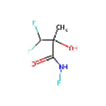 CC(O)(C(=O)NF)C(F)F